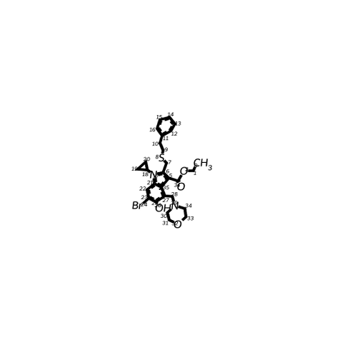 CCOC(=O)c1c(CSCCc2ccccc2)n(C2CC2)c2cc(Br)c(O)c(CN3CCOCC3)c12